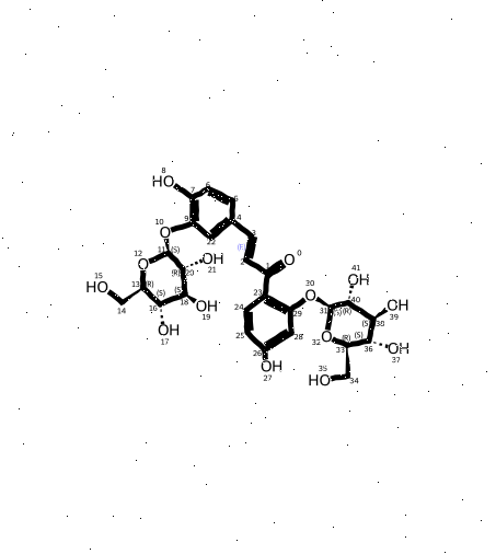 O=C(/C=C/c1ccc(O)c(O[C@@H]2O[C@H](CO)[C@@H](O)[C@H](O)[C@H]2O)c1)c1ccc(O)cc1O[C@@H]1O[C@H](CO)[C@@H](O)[C@H](O)[C@H]1O